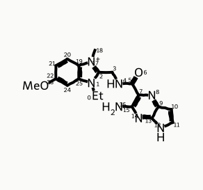 CCn1c(CNC(=O)c2nc3cc[nH]c3nc2N)[n+](C)c2ccc(OC)cc21